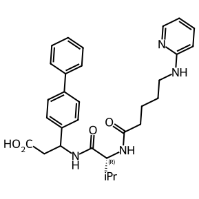 CC(C)[C@@H](NC(=O)CCCCNc1ccccn1)C(=O)NC(CC(=O)O)c1ccc(-c2ccccc2)cc1